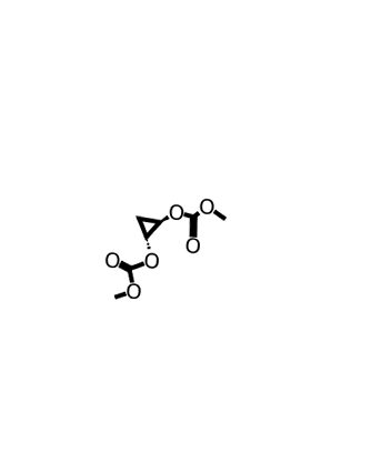 COC(=O)O[C@@H]1C[C@H]1OC(=O)OC